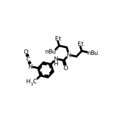 CCCCC(CC)CN(CC(CC)CCCC)C(=O)Nc1ccc(C)c(N=C=O)c1